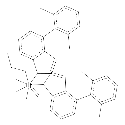 [CH2]=[Hf]([CH3])([CH3])([CH3])([CH2]CC)([CH]1C=Cc2c(-c3c(C)cccc3C)cccc21)[CH]1C=Cc2c(-c3c(C)cccc3C)cccc21